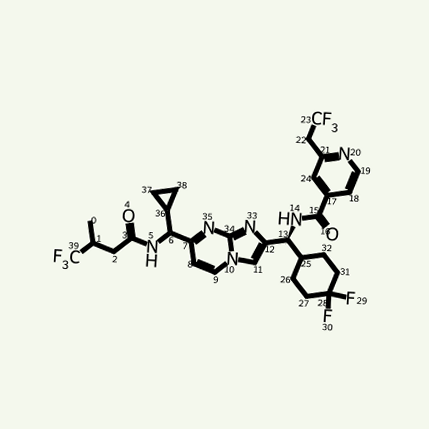 CC(CC(=O)NC(c1ccn2cc([C@@H](NC(=O)c3ccnc(CC(F)(F)F)c3)C3CCC(F)(F)CC3)nc2n1)C1CC1)C(F)(F)F